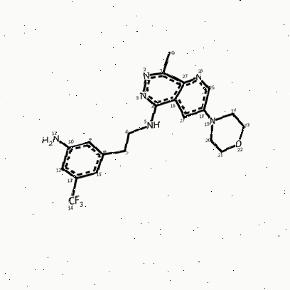 Cc1nnc(NCCc2cc(N)cc(C(F)(F)F)c2)c2cc(N3CCOCC3)cnc12